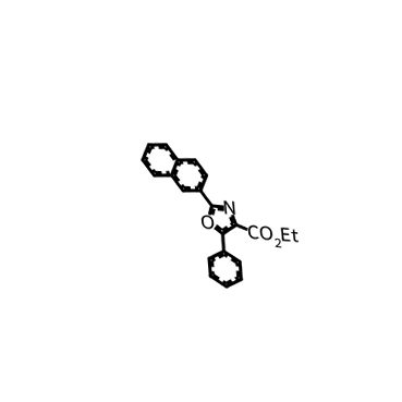 CCOC(=O)c1nc(-c2ccc3ccccc3c2)oc1-c1ccccc1